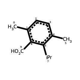 Cc1ccc(C)c(C(C)C)c1C(=O)O